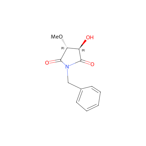 CO[C@H]1C(=O)N(Cc2ccccc2)C(=O)[C@@H]1O